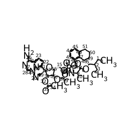 CCC(CC)COC(=O)[C@H](C)NP(=O)(OC[C@H]1O[C@@](C#N)(c2ccc3c(N)ncnn23)[C@H](OC(C)=O)[C@@H]1OC(C)=O)Oc1cccc2c1CCCC2